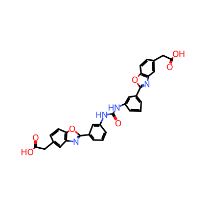 O=C(O)Cc1ccc2oc(-c3cccc(NC(=O)Nc4cccc(-c5nc6cc(CC(=O)O)ccc6o5)c4)c3)nc2c1